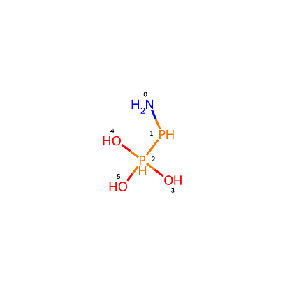 NP[PH](O)(O)O